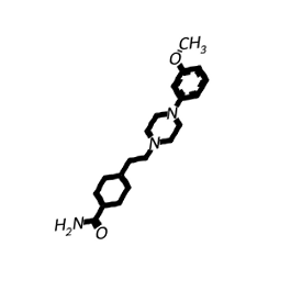 COc1cccc(N2CCN(CCC3CCC(C(N)=O)CC3)CC2)c1